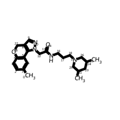 Cc1ccc2c(c1)-c1c(cnn1CC(=O)NCCCN1CC(C)CC(C)C1)CO2